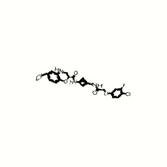 O=C(COc1ccc(Cl)c(F)c1)NC12CC(NC(=O)[C@@H]3CNc4cc(Cl)ccc4O3)(C1)C2